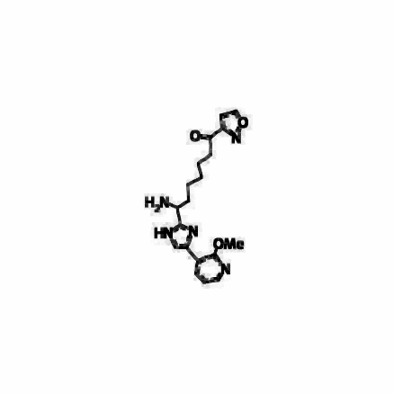 COc1ncccc1-c1c[nH]c(C(N)CCCCCC(=O)c2ccon2)n1